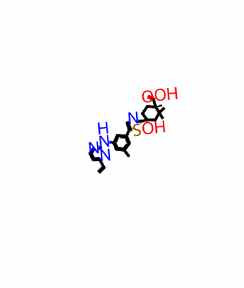 C=Cc1ccnc(Nc2cc(C)cc(-c3cnc([C@@]4(O)CC[C@](C)(C(=O)O)C(C)(C)C4)s3)c2)n1